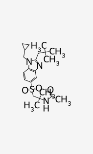 CC(=O)NC(C)(C)CS(=O)(=O)c1ccc2c(c1)nc(CC(C)(C)C)n2CC1CC1